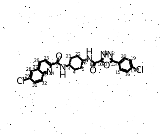 O=C(NC1CCC(NC(=O)c2nnc(-c3ccc(Cl)cc3)o2)CC1)c1ccc2cc(Cl)ccc2n1